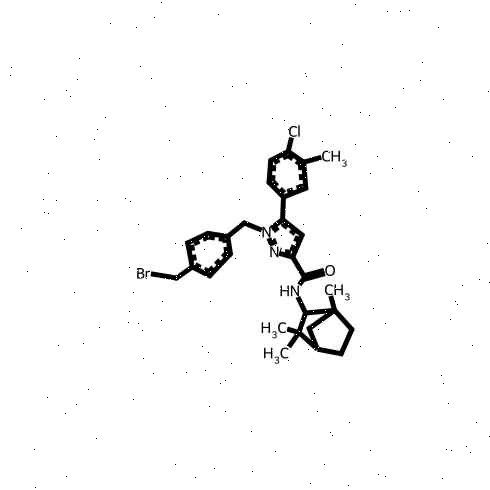 Cc1cc(-c2cc(C(=O)NC3C4(C)CCC(C4)C3(C)C)nn2Cc2ccc(CBr)cc2)ccc1Cl